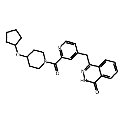 O=C(c1cc(Cc2n[nH]c(=O)c3ccccc23)ccn1)N1CCC(OC2CCCC2)CC1